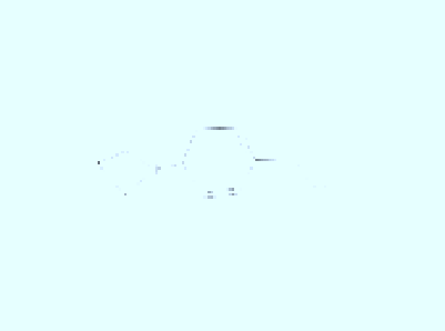 O=C(O)Cc1ccc(N2CCC2)cc1